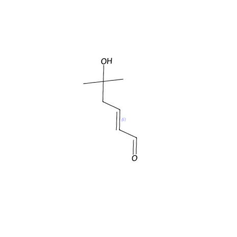 CC(C)(O)C/C=C/C=O